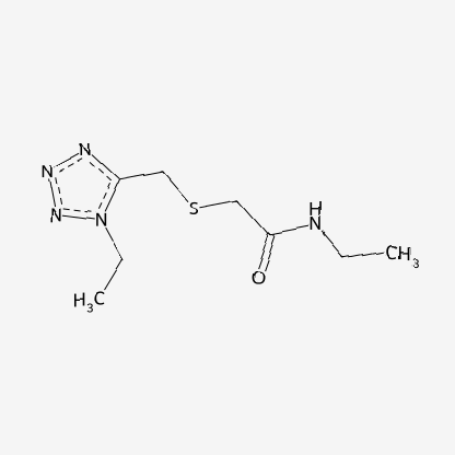 CCNC(=O)CSCc1nnnn1CC